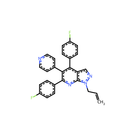 C=CCn1ncc2c(-c3ccc(F)cc3)c(-c3ccncc3)c(-c3ccc(F)cc3)nc21